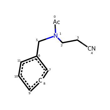 CC(=O)N(CCC#N)Cc1ccccc1